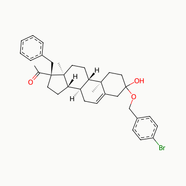 CC(=O)[C@@]1(Cc2ccccc2)CC[C@H]2[C@@H]3CC=C4CC(O)(OCc5ccc(Br)cc5)CC[C@]4(C)[C@H]3CC[C@@]21C